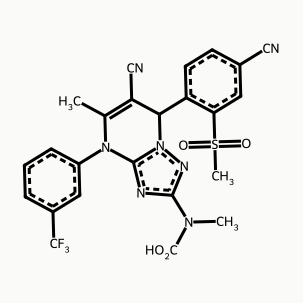 CC1=C(C#N)C(c2ccc(C#N)cc2S(C)(=O)=O)n2nc(N(C)C(=O)O)nc2N1c1cccc(C(F)(F)F)c1